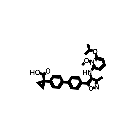 CO[n+]1c(Nc2c(C)noc2-c2ccc(-c3ccc(C4(C(=O)O)CC4)cc3)cc2)cccc1OC(C)C